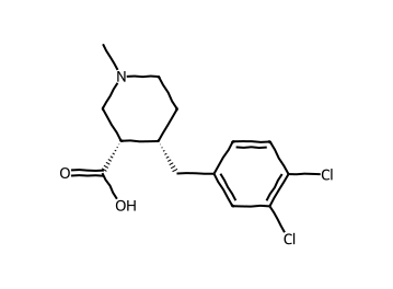 CN1CC[C@H](Cc2ccc(Cl)c(Cl)c2)[C@H](C(=O)O)C1